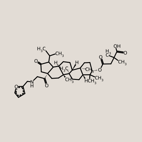 CC(C)C1C(=O)C[C@]2(C(=O)CNCc3ccco3)CC[C@]3(C)[C@H](CC[C@@H]4[C@@]5(C)CC[C@H](OC(=O)CC(C)(C)C(=O)O)C(C)(C)[C@@H]5CC[C@]43C)C12